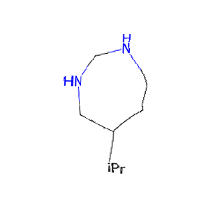 CC(C)C1CCNCNC1